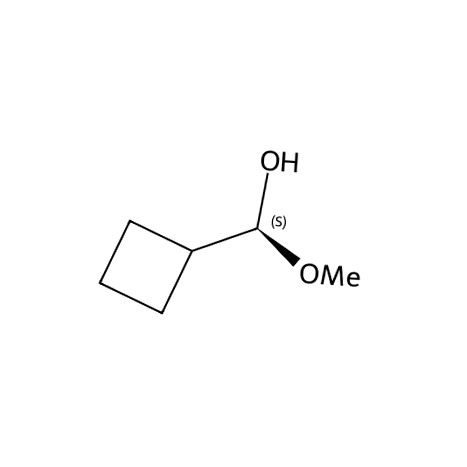 CO[C@H](O)C1CCC1